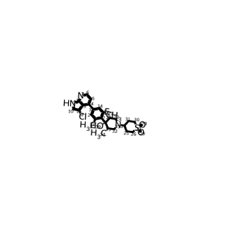 Cc1cc(-c2ccnc3[nH]cc(Cl)c23)cc(F)c1[C@@]1(O)[C@H](C)CN(C2CCS(=O)(=O)CC2)C[C@@H]1C